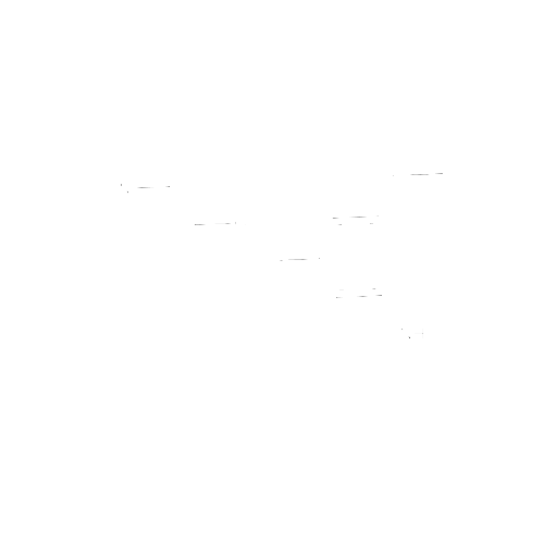 CNc1cc(COCCN)cc(OC)c1